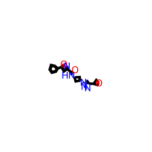 O=C(NC1CC(n2cc(C3COC3)nn2)C1)c1cc(-c2ccccc2)on1